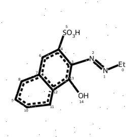 CCN=Nc1c(S(=O)(=O)O)cc2ccccc2c1O